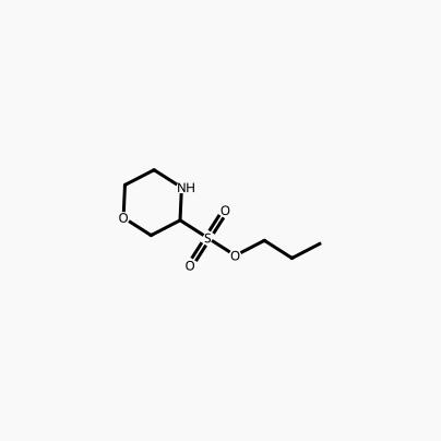 CCCOS(=O)(=O)C1COCCN1